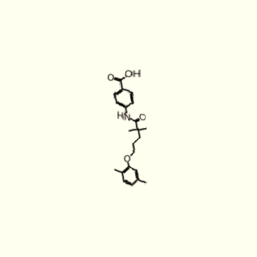 Cc1ccc(C)c(OCCCC(C)(C)C(=O)Nc2ccc(C(=O)O)cc2)c1